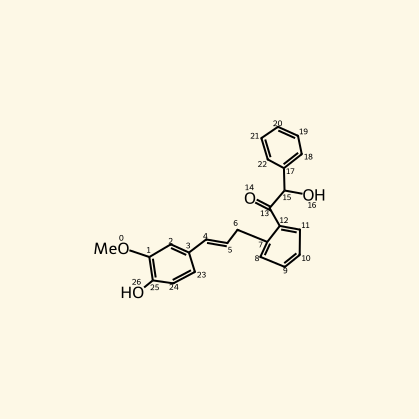 COc1cc(/C=C/Cc2ccccc2C(=O)C(O)c2ccccc2)ccc1O